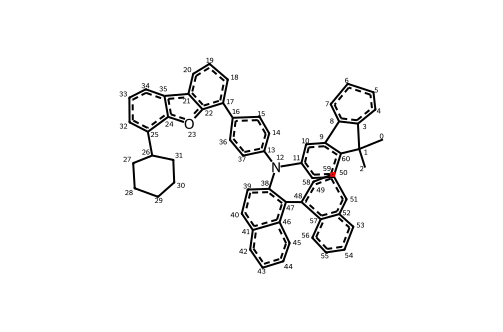 CC1(C)c2ccccc2-c2cc(N(c3ccc(-c4cccc5c4oc4c(C6CCCCC6)cccc45)cc3)c3ccc4ccccc4c3-c3cccc4ccccc34)ccc21